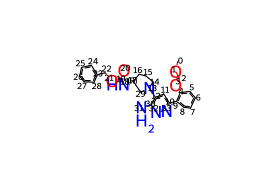 COCOc1ccccc1-c1cc(N2CCC[C@@H](NC(=O)OCc3ccccc3)C2)c(N)nn1